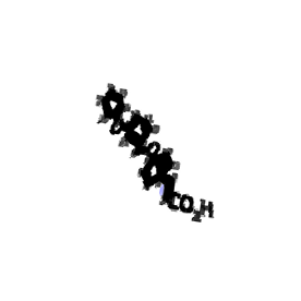 O=C(O)/C=C/C12CCC(OCc3cccc(Oc4ccccc4)c3)(CC1)C2